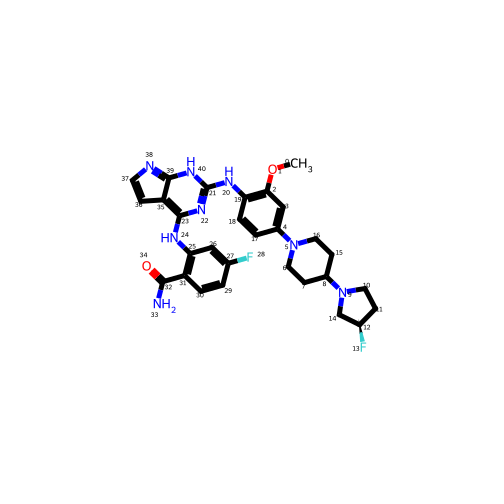 COc1cc(N2CCC(N3CC[C@@H](F)C3)CC2)ccc1Nc1nc(Nc2cc(F)ccc2C(N)=O)c2ccnc-2[nH]1